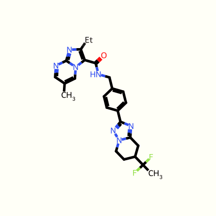 CCc1nc2ncc(C)cn2c1C(=O)NCc1ccc(-c2nc3n(n2)CCC(C(C)(F)F)C3)cc1